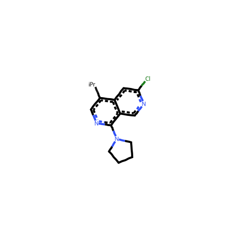 CC(C)c1cnc(N2CCCC2)c2cnc(Cl)cc12